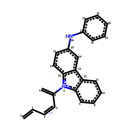 C=C/C=C\C(=C)n1c2ccccc2c2cc(Nc3ccccc3)ccc21